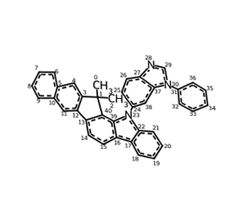 CC1(C)c2cc3ccccc3cc2-c2ccc3c4ccccc4n(-c4ccc5ncn(-c6ccccc6)c5c4)c3c21